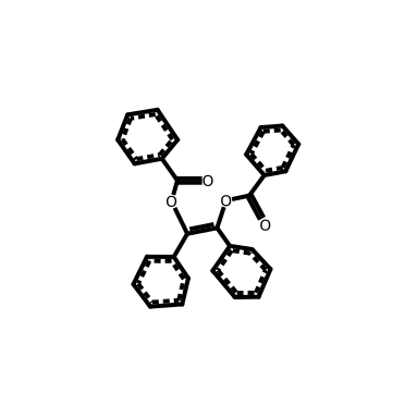 O=C(OC(=C(OC(=O)c1ccccc1)c1ccccc1)c1ccccc1)c1ccccc1